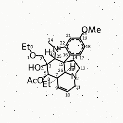 CCOCC1(O)[C@H](OC(C)=O)[C@]2(CC)C=CCN3CC[C@@]4(c5ccc(OC)cc5N(C)[C@@H]14)[C@@H]32